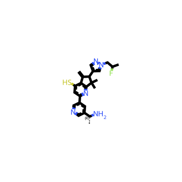 C=C1c2c(S)cc(-c3cncc([C@@H](C)N)c3)nc2C(C)(C)C1c1cnn(CC(C)F)c1